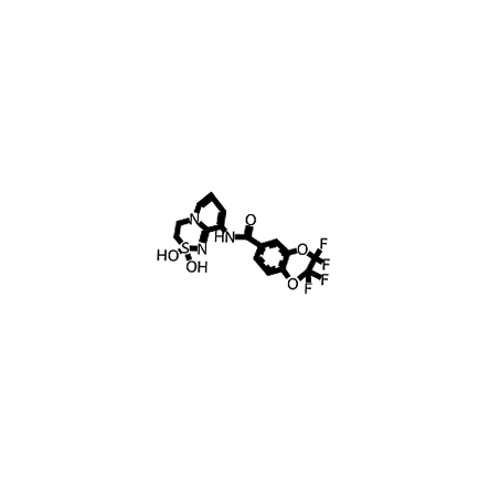 O=C(NC1=CC=CN2CCS(O)(O)N=C12)c1ccc2c(c1)OC(F)(F)C(F)(F)O2